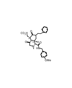 COc1ccc(CNC(=O)N2[C@H]3CC(CCc4ccccc4)C(=O)[C@H](CC(=O)O)N3C(=O)CN2C)cc1